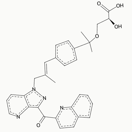 C/C(=C\c1ccc(C(C)(C)OC[C@H](O)C(=O)O)cc1)Cn1nc(C(=O)c2ccc3ccccc3n2)c2ncccc21